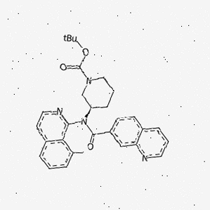 Cc1cccc2ccnc(N(C(=O)c3ccc4cccnc4c3)[C@@H]3CCCN(C(=O)OC(C)(C)C)C3)c12